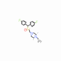 CC(C)CN1[C@H](C)CN(CC[S+]([O-])C(c2ccc(F)cc2)c2ccc(F)cc2)C[C@@H]1C